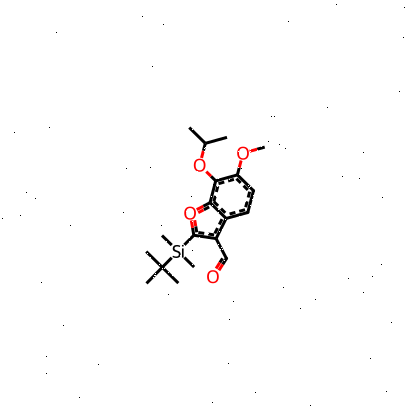 COc1ccc2c(C=O)c([Si](C)(C)C(C)(C)C)oc2c1OC(C)C